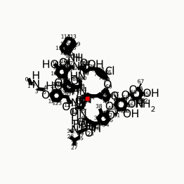 CCNCCOc1ccc(CC(=O)NC(=O)C2NC(=O)[C@H](NC(=O)[C@@H](CC(C)C)NC)[C@H](O)c3ccc(c(C)c3)Oc3cc4cc(c3O[C@@H]3C[C@H](CO)[C@@H](O)[C@H](O)[C@H]3O[C@H]3C[C@](C)(N)[C@H](O)[C@H](C)O3)Oc3ccc(cc3Cl)[C@@H](O)[C@@H]3NC(=O)[C@H](NC(=O)[C@@H]4NC2=O)c2ccc(O)c(c2)-c2c(O)cc(O)cc2[C@@H](C(=O)NC2C4CC5CC(C4)CC2C5)NC3=O)cc1